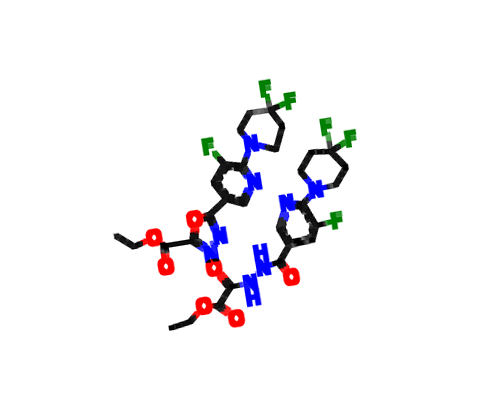 CCOC(=O)C(=O)NNC(=O)c1cnc(N2CCC(F)(F)CC2)c(F)c1.CCOC(=O)c1nnc(-c2cnc(N3CCC(F)(F)CC3)c(F)c2)o1